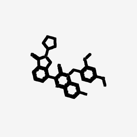 COc1ccc(Cn2c(=O)c(-c3cccc4c3CN(C3CCCC3)C4=O)nc3ccc(C)cc32)c(OC)c1